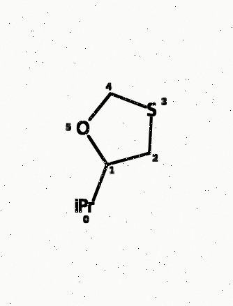 CC(C)C1CSCO1